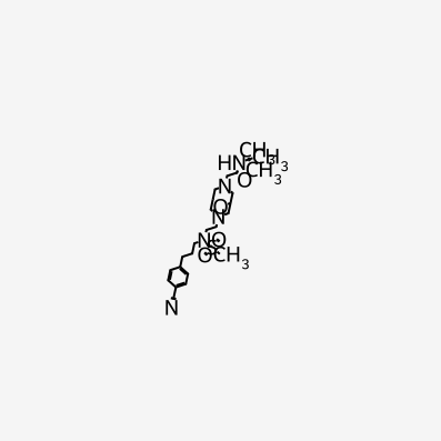 CC(C)(C)NC(=O)CN1CC2CN(CCN(CCCc3ccc(C#N)cc3)S(C)(=O)=O)CC(C1)O2